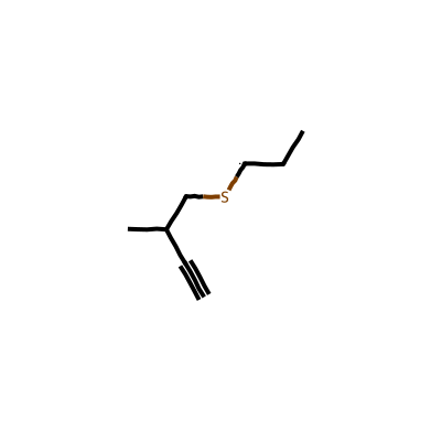 C#CC(C)CS[CH]CC